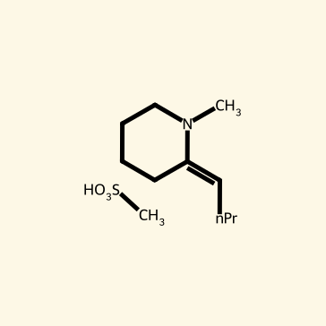 CCCC=C1CCCCN1C.CS(=O)(=O)O